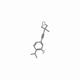 CC(C)c1ccc(C#CC2(C)COC2)cc1F